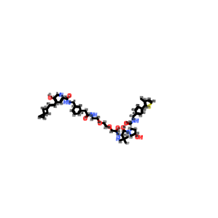 COc1cnc(C(=O)NCc2cccc(CC(=O)NCCOCCOCC(=O)N[C@H](C(=O)N3C[C@H](O)C[C@H]3C(=O)NCc3ccc(-c4sccc4C)cc3)C(C)(C)C)c2)cc1/C=C/C1CC2(CC2)C1